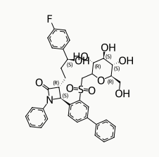 O=C1[C@H](CC[C@H](O)c2ccc(F)cc2)[C@@H](c2ccc(-c3ccccc3)cc2S(=O)(=O)CC2O[C@H](CO)[C@@H](O)[C@H](O)[C@H]2O)N1c1ccccc1